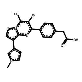 Cn1ccc(-c2cnn3c(N)c(Br)c(-c4ccc(CC(=O)O)cc4)nc23)c1